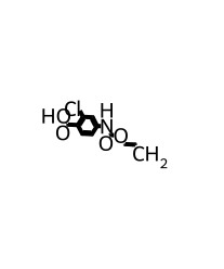 C=CCOC(=O)Nc1ccc(C(=O)O)c(Cl)c1